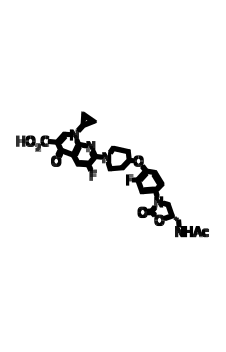 CC(=O)NC[C@H]1CN(c2ccc(OC3CCN(c4nc5c(cc4F)c(=O)c(C(=O)O)cn5C4CC4)CC3)c(F)c2)C(=O)O1